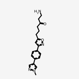 Cn1cc(-c2ccc(-c3cc(CCCC(=O)CCN)on3)cc2)cn1